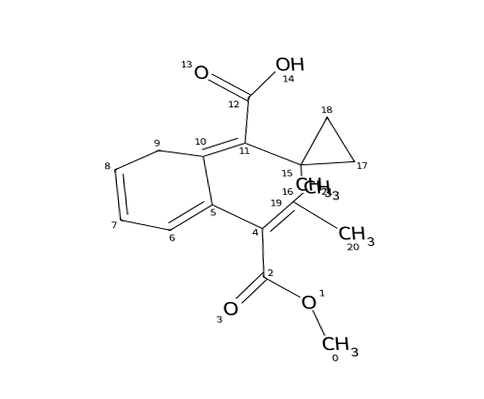 COC(=O)C(C1=CC=CCC1=C(C(=O)O)C1(C)CC1)=C(C)C